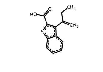 C=C(CC)c1c(C(=O)O)sc2ccccc12